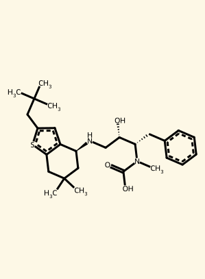 CN(C(=O)O)[C@@H](Cc1ccccc1)[C@@H](O)CN[C@H]1CC(C)(C)Cc2sc(CC(C)(C)C)cc21